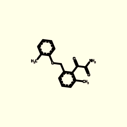 Cc1ccccc1OCc1cccc(C)c1C(=O)C(N)=O